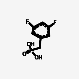 O=P(O)(O)Cc1cc(F)cc(F)c1